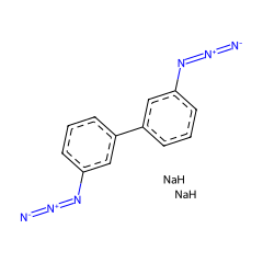 [N-]=[N+]=Nc1cccc(-c2cccc(N=[N+]=[N-])c2)c1.[NaH].[NaH]